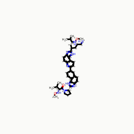 CON[C@H](C(=O)N1CCC[C@H]1c1nc2ccc3cc(-c4ccc5c(ccc6nc(C(CCCN)C[C@@H](NOC)C(C)C)[nH]c65)n4)ccc3c2[nH]1)C(C)C